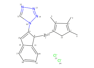 CC1=C(C)C(C)=[C]([Zr+2][CH]2C(n3cnnn3)=Cc3ccccc32)C1.[Cl-].[Cl-]